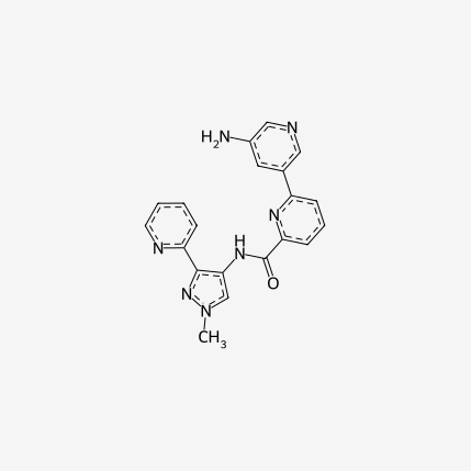 Cn1cc(NC(=O)c2cccc(-c3cncc(N)c3)n2)c(-c2ccccn2)n1